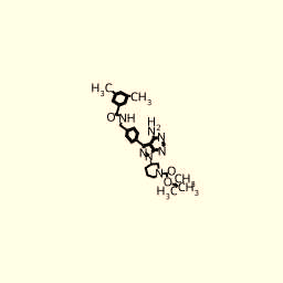 Cc1cc(C)cc(C(=O)NCc2ccc(-c3nn([C@@H]4CCCN(C(=O)OC(C)(C)C)C4)c4ncnc(N)c34)cc2)c1